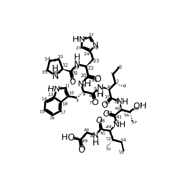 CC[C@H](C)[C@H](NC(=O)[C@H](Cc1c[nH]c2ccccc12)NC(=O)[C@H](Cc1c[nH]cn1)NC(=O)[C@@H]1CCCN1)C(=O)N[C@H](C(=O)N[C@H](C(=O)NCC(=O)O)[C@@H](C)CC)[C@@H](C)O